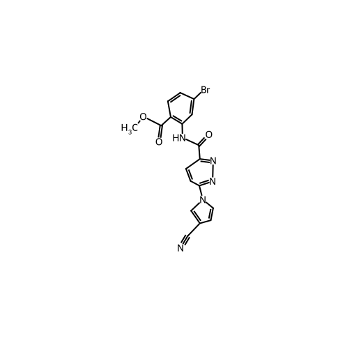 COC(=O)c1ccc(Br)cc1NC(=O)c1ccc(-n2ccc(C#N)c2)nn1